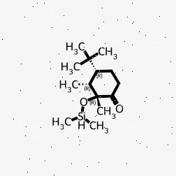 C[C@@H]1[C@H](C(C)(C)C)CCC(=O)[C@]1(C)O[SiH](C)C